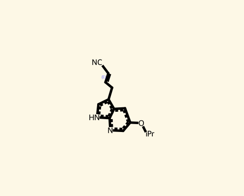 CC(C)Oc1cnc2[nH]cc(C/C=C/C#N)c2c1